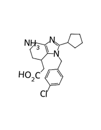 N.O=C(O)CC1CCCc2nc(C3CCCC3)n(Cc3ccc(Cl)cc3)c21